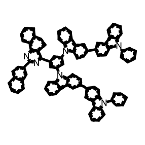 c1ccc(-n2c3ccccc3c3cc(-c4ccc5c(c4)c4ccccc4n5-c4cc(-c5nc(-c6ccc7ccccc7c6)nc6c5ccc5ccccc56)cc(-n5c6ccccc6c6cc(-c7ccc8c(c7)c7ccccc7n8-c7ccccc7)ccc65)c4)ccc32)cc1